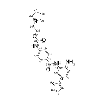 Nc1ccc(-c2cccs2)cc1NC(=O)c1ccc(NC(=O)OCCN2CCCC2)cc1